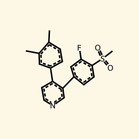 Cc1ccc(-c2ccncc2-c2ccc(S(C)(=O)=O)c(F)c2)cc1C